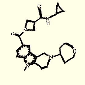 Cn1c2c(c3cc(C(=O)N4CC(C(=O)NC5CC5)C4)ccc31)CN(C1CCOCC1)CC2